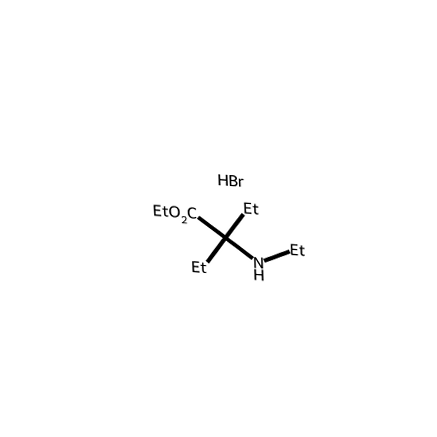 Br.CCNC(CC)(CC)C(=O)OCC